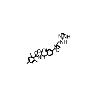 Cc1cc(C)c(C(=O)NC(Cc2ccc(-c3nc(CNc4ncc[nH]4)co3)cc2)C(=O)O)c(C)c1